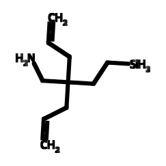 C=CCC(CN)(CC=C)CC[SiH3]